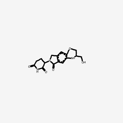 O=C1CCC(N2Cc3cc4c(cc3C2=O)NC(CO)CO4)C(=O)N1